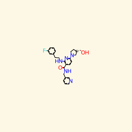 O=C(NCc1cccnc1)c1ccc(N2CC[C@H](CO)C2)nc1NCCc1cccc(F)c1